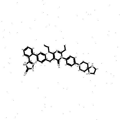 CCCc1nc(CC)n(-c2ccc(N3CCC4(CC3)OCCO4)cc2)c(=O)c1Cc1ccc(-c2ccccc2-c2noc(=O)[nH]2)cc1